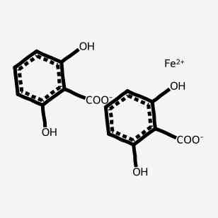 O=C([O-])c1c(O)cccc1O.O=C([O-])c1c(O)cccc1O.[Fe+2]